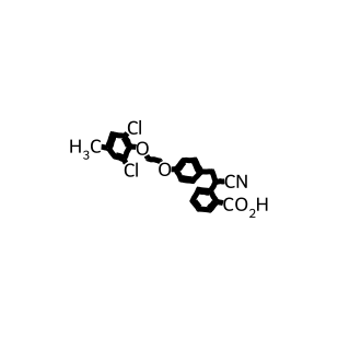 Cc1cc(Cl)c(OCCOc2ccc(CC(C#N)c3ccccc3C(=O)O)cc2)c(Cl)c1